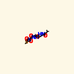 CCSC1CC(=O)N(CCC(=O)NCC(C)(C)COC(C)(C)CCCNC(=O)CCC(C)C)C1=O